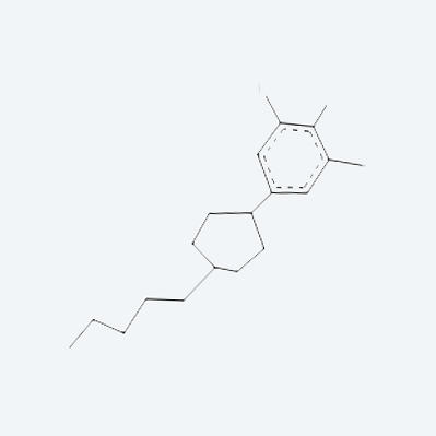 CCCCCC1CCC(c2cc(F)c(F)c(F)c2)CC1